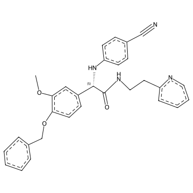 COc1cc([C@H](Nc2ccc(C#N)cc2)C(=O)NCCc2ccccn2)ccc1OCc1ccccc1